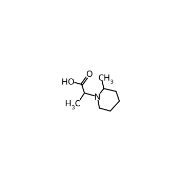 CC1CCCCN1C(C)C(=O)O